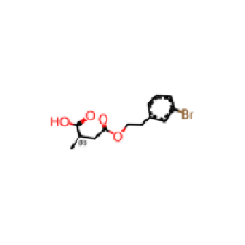 C[C@H](CC(=O)OCCc1cccc(Br)c1)C(=O)O